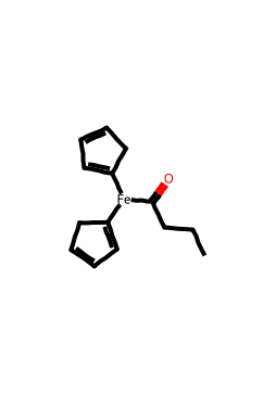 CCC[C](=O)[Fe]([C]1=CC=CC1)[C]1=CC=CC1